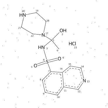 CC(O)(NS(=O)(=O)c1cccc2cnccc12)N1CCNCC1.Cl